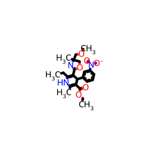 CCOC(=O)C1=C(C)NC(CC)=C(C2=NC(C)(COC)CO2)C1c1cccc([N+](=O)[O-])c1